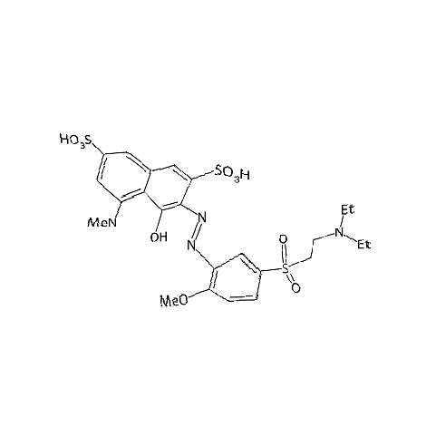 CCN(CC)CCS(=O)(=O)c1ccc(OC)c(/N=N/c2c(S(=O)(=O)O)cc3cc(S(=O)(=O)O)cc(NC)c3c2O)c1